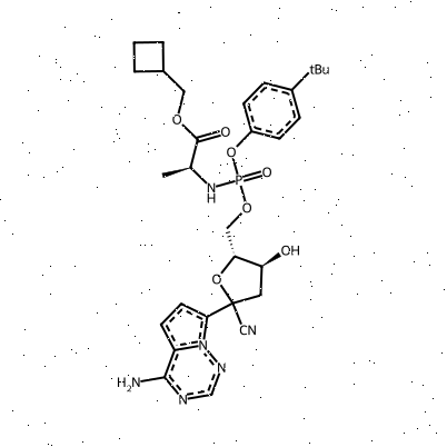 C[C@H](NP(=O)(OC[C@H]1OC(C#N)(c2ccc3c(N)ncnn23)C[C@@H]1O)Oc1ccc(C(C)(C)C)cc1)C(=O)OCC1CCC1